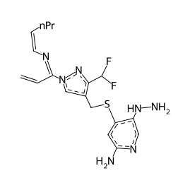 C=C/C(=N\C=C/CCC)n1cc(CSc2cc(N)ncc2NN)c(C(F)F)n1